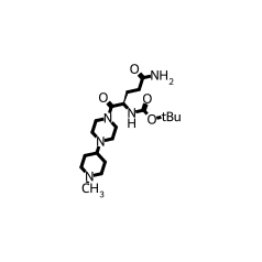 CN1CCC(N2CCN(C(=O)[C@@H](CCC(N)=O)NC(=O)OC(C)(C)C)CC2)CC1